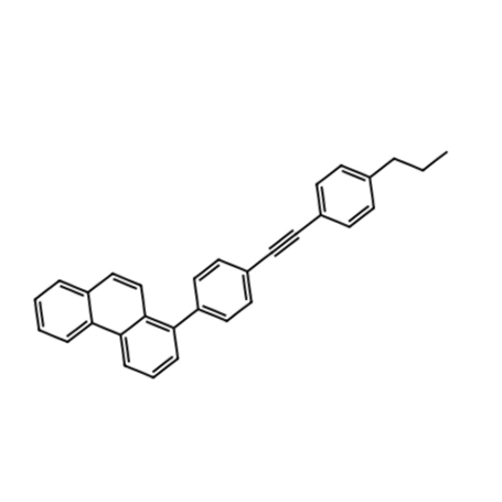 CCCc1ccc(C#Cc2ccc(-c3cccc4c3ccc3ccccc34)cc2)cc1